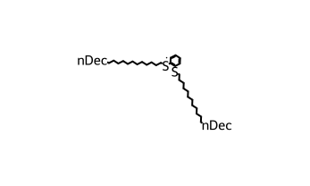 CCCCCCCCCCCCCCCCCCCCCCSc1[c]cccc1SCCCCCCCCCCCCCCCCCCCCCC